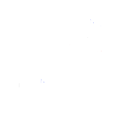 CN(C)CCOC(N)=O